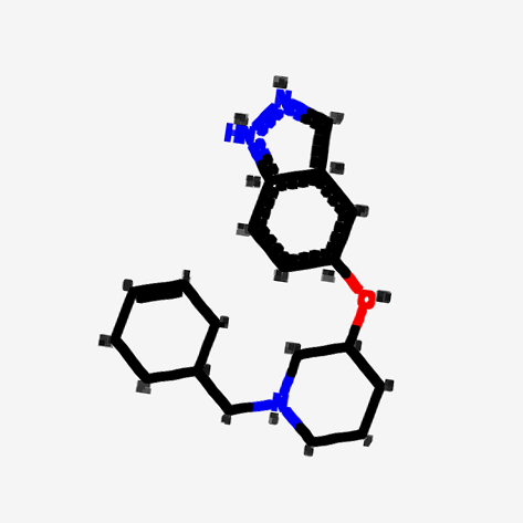 C1=CCC(CN2CCCC(Oc3ccc4[nH]ncc4c3)C2)CC1